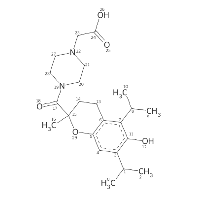 CC(C)c1cc2c(c(C(C)C)c1O)CCC(C)(C(=O)N1CCN(CC(=O)O)CC1)O2